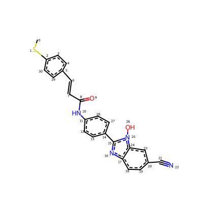 CSc1ccc(C=CC(=O)Nc2ccc(-c3nc4ccc(C#N)cc4n3O)cc2)cc1